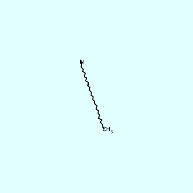 CCCCCCCCCCCCCCCCCCCC=CCCCCCCCC#N